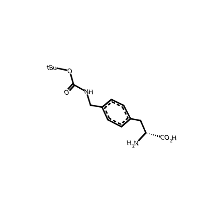 CC(C)(C)OC(=O)NCc1ccc(C[C@@H](N)C(=O)O)cc1